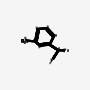 O=[N+]([O-])c1cc[c]c(C(F)F)c1